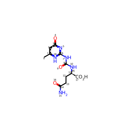 Cc1cc(=O)nc(NC(=O)N[C@H](CCC(N)=O)C(=O)O)[nH]1